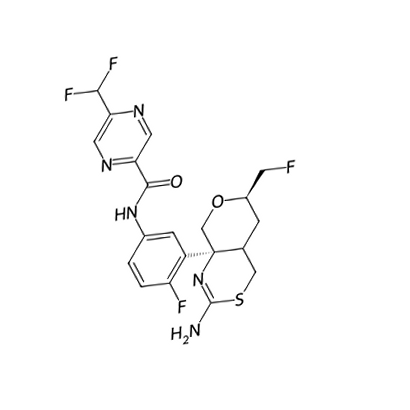 NC1=N[C@@]2(c3cc(NC(=O)c4cnc(C(F)F)cn4)ccc3F)CO[C@@H](CF)CC2CS1